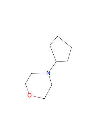 C1CC[C](N2CCOCC2)C1